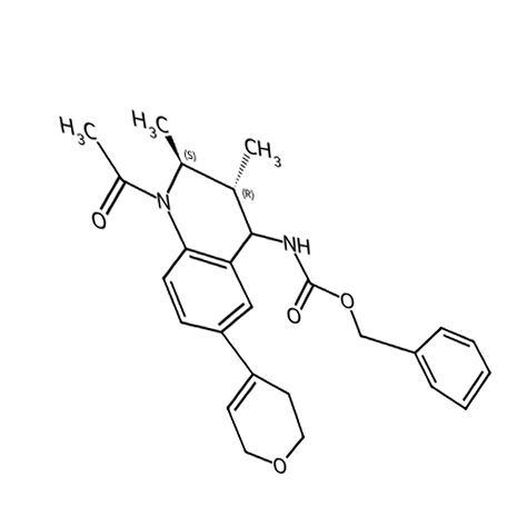 CC(=O)N1c2ccc(C3=CCOCC3)cc2C(NC(=O)OCc2ccccc2)[C@@H](C)[C@@H]1C